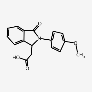 COc1ccc(N2C(=O)c3ccccc3C2CC(=O)O)cc1